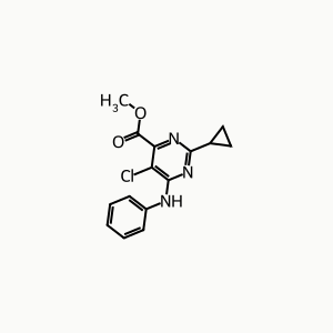 COC(=O)c1nc(C2CC2)nc(Nc2ccccc2)c1Cl